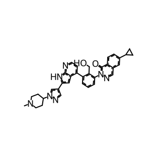 CN1CCC(n2cc(-c3cc4c(-c5cccc(-n6ncc7cc(C8CC8)ccc7c6=O)c5CO)ccnc4[nH]3)cn2)CC1